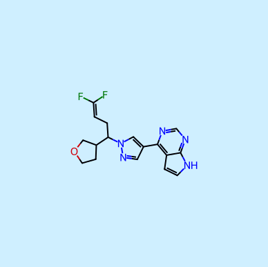 FC(F)=CCC(C1CCOC1)n1cc(-c2ncnc3[nH]ccc23)cn1